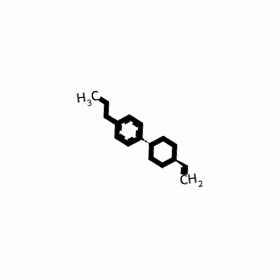 C=C[C@H]1CC[C@H](c2ccc(CCC)cc2)CC1